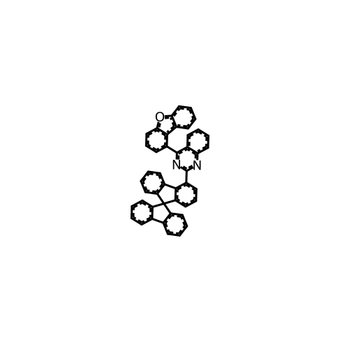 c1ccc2c(c1)-c1ccccc1C21c2ccccc2-c2c(-c3nc(-c4cccc5oc6ccccc6c45)c4ccccc4n3)cccc21